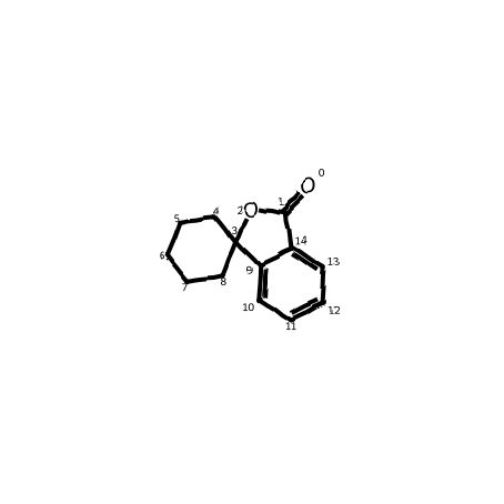 O=C1OC2(CC[CH]CC2)c2ccccc21